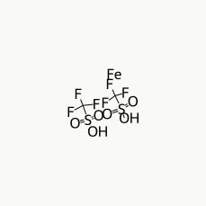 O=S(=O)(O)C(F)(F)F.O=S(=O)(O)C(F)(F)F.[Fe]